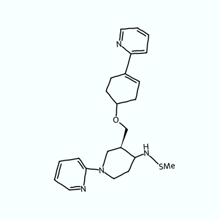 CSNC1CCN(c2ccccn2)C[C@H]1COC1CC=C(c2ccccn2)CC1